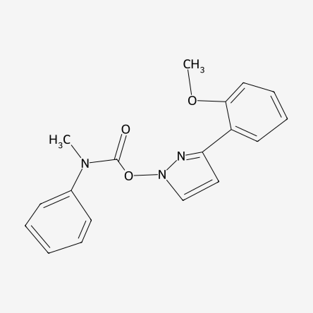 COc1ccccc1-c1ccn(OC(=O)N(C)c2ccccc2)n1